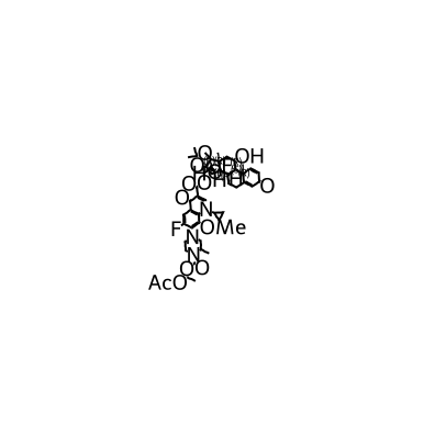 COc1c(N2CCN(C(=O)OC(C)OC(C)=O)C(C)C2)c(F)cc2c(=O)c(C(=O)OCC(=O)[C@]34OC(C)(C)O[C@H]3C[C@@H]3[C@H]5CCC6=CC(=O)C=C[C@@]6(C)[C@]5(F)[C@H](O)C[C@]34C)cn(C3CC3)c12